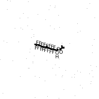 C=C(C)C(=O)OC(O)C(F)(F)C(F)(F)C(F)(F)C(F)(F)C(F)(F)C(F)(F)C(F)(F)C(C)(F)F